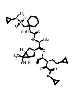 C[C@@H](C1(NC(=O)N[C@H](C(=O)N2C[C@H]3[C@@H]([C@H]2C(=O)N[C@@H](CCC2CC2)C(=O)C(=O)NC2CC2)C3(C)C)C(C)(C)C)CCCCC1)S(=O)(=O)N(C)C1CC1